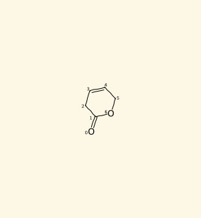 O=C1CC=CCO1